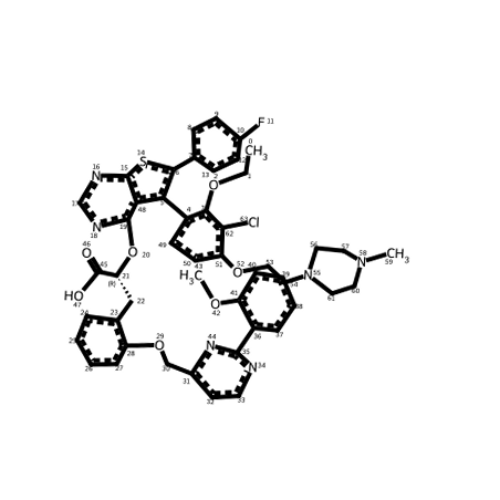 CCOc1c(-c2c(-c3ccc(F)cc3)sc3ncnc(O[C@H](Cc4ccccc4OCc4ccnc(-c5ccccc5OC)n4)C(=O)O)c23)ccc(OCCN2CCN(C)CC2)c1Cl